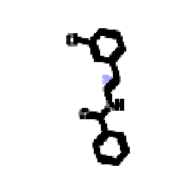 O=C(N/C=C/c1cccc(Cl)c1)c1ccccc1